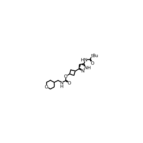 CC(C)(C)C(=O)Nc1cc(C2CC(OC(=O)NCC3CCOCC3)C2)n[nH]1